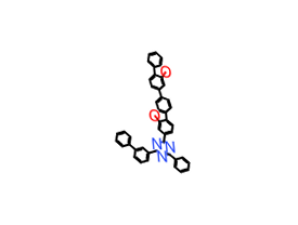 c1ccc(-c2cccc(-c3nc(-c4ccccc4)nc(-c4ccc5c(c4)oc4cc(-c6ccc7c(c6)oc6ccccc67)ccc45)n3)c2)cc1